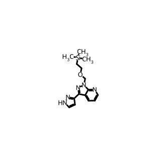 C[Si](C)(C)CCOCn1nc(-c2cc[nH]n2)c2cccnc21